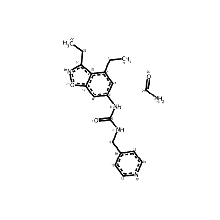 CCc1cc(NC(=O)NCc2ccncc2)cc2onc(CC)c12.NC=O